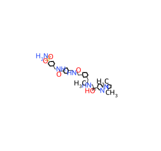 Cc1ccc(C)n1-c1ccc([C@@H](O)CNC(C)Cc2cccc(CC(=O)NCc3ccc(C(=O)NCc4ccc(S(N)(=O)=O)cc4)cc3)c2)cn1